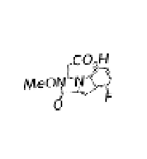 CON1C(=O)c2cc3c(F)cccc3n2C1CC(=O)O